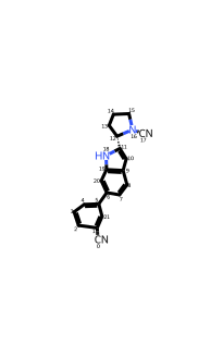 N#Cc1cccc(-c2ccc3cc([C@@H]4CCCN4C#N)[nH]c3c2)c1